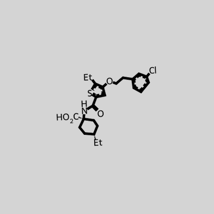 CCc1sc(C(=O)N[C@]2(C(=O)O)CC[C@@H](CC)CC2)cc1OCCc1cccc(Cl)c1